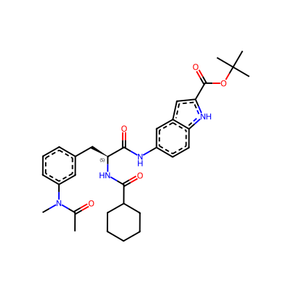 CC(=O)N(C)c1cccc(C[C@H](NC(=O)C2CCCCC2)C(=O)Nc2ccc3[nH]c(C(=O)OC(C)(C)C)cc3c2)c1